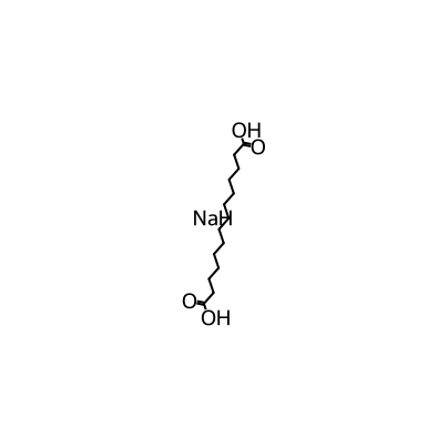 O=C(O)CCCCCCCCCCCCC(=O)O.[NaH]